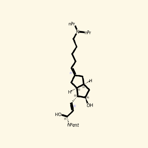 CCCCC[C@H](O)/C=C/[C@@H]1[C@H]2C/C(=C/CCCCN(CCC)CCC)C[C@H]2C[C@H]1O